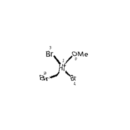 C[O][Hf]([Br])([Br])[Br]